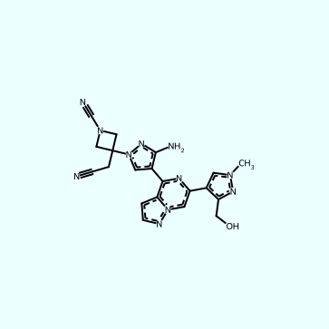 Cn1cc(-c2cn3nccc3c(-c3cn(C4(CC#N)CN(C#N)C4)nc3N)n2)c(CO)n1